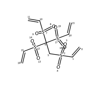 C=CS(=O)(=O)CC(S(=O)(=O)C=C)(S(=O)(=O)C=C)S(=O)(=O)C=C